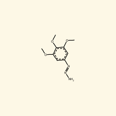 COc1cc(N=NN)cc(OC)c1OC